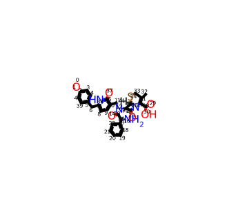 COc1ccc(Cc2ccc(CN(C(=O)[C@H](N)c3ccccc3)[C@@H]3C(=O)N4C(C(=O)O)=C(C)CS[C@H]34)c(=O)[nH]2)cc1